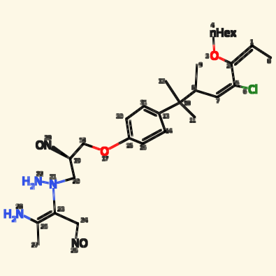 C/C=C(OCCCCCC)\C(Cl)=C/C(C)C(C)(C)c1ccc(OC[C@@H](CN(N)/C(CN=O)=C(/C)N)N=O)cc1